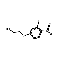 O=[N+]([O-])c1ccc(OCCO)cc1F